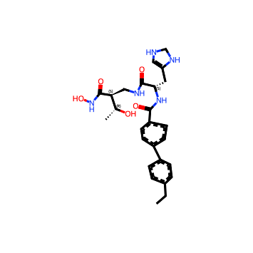 CCc1ccc(-c2ccc(C(=O)N[C@@H](CC3=CNCN3)C(=O)NC[C@H](C(=O)NO)[C@@H](C)O)cc2)cc1